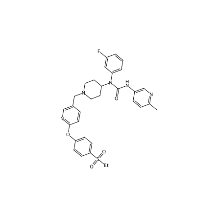 CCS(=O)(=O)c1ccc(Oc2ccc(CN3CCC(N(C(=O)Nc4ccc(C)nc4)c4cccc(F)c4)CC3)cn2)cc1